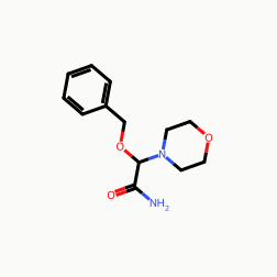 NC(=O)C(OCc1ccccc1)N1CCOCC1